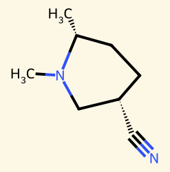 C[C@@H]1CC[C@H](C#N)CN1C